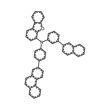 c1cc(-c2ccc3ccccc3c2)cc(N(c2ccc(-c3ccc4c(ccc5ccccc54)c3)cc2)c2cccc3c2oc2ccccc23)c1